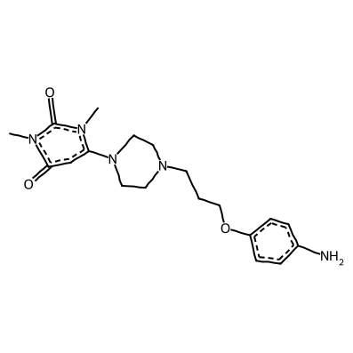 Cn1c(N2CCN(CCCOc3ccc(N)cc3)CC2)cc(=O)n(C)c1=O